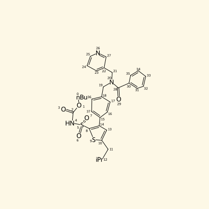 CCCCOC(=O)NS(=O)(=O)c1sc(CC(C)C)cc1-c1ccc(CN(Cc2cccnc2)C(=O)c2ccccc2)cc1